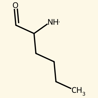 CCCCC([NH])C=O